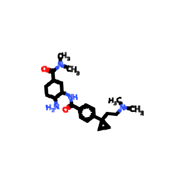 CN(C)CCC1(c2ccc(C(=O)NC3CC(C(=O)N(C)C)CCC3N)cc2)CC1